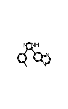 Cc1cccc(-c2nc[nH]c2-c2ccc3nccnc3c2)c1